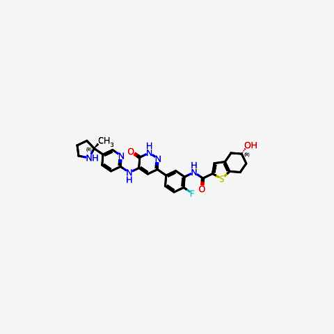 C[C@]1(c2ccc(Nc3cc(-c4ccc(F)c(NC(=O)c5cc6c(s5)CC[C@@H](O)C6)c4)n[nH]c3=O)nc2)CCCN1